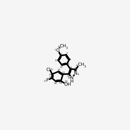 COc1ccc(-c2c(C)n[nH]c2-c2cc(Cl)c(F)cc2O)cc1